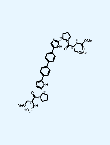 COC[C@H](NC(=O)O)C(=O)N1CCC[C@H]1c1ncc(-c2ccc(-c3ccc(-c4cnc([C@@H]5CCCN5C(=O)[C@H](COC)NC(=O)OC)[nH]4)cc3)cc2)[nH]1